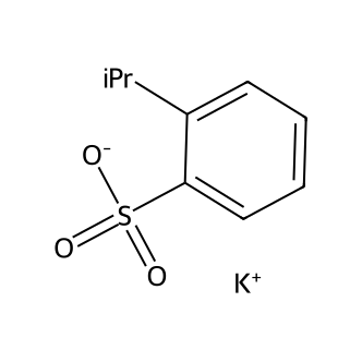 CC(C)c1ccccc1S(=O)(=O)[O-].[K+]